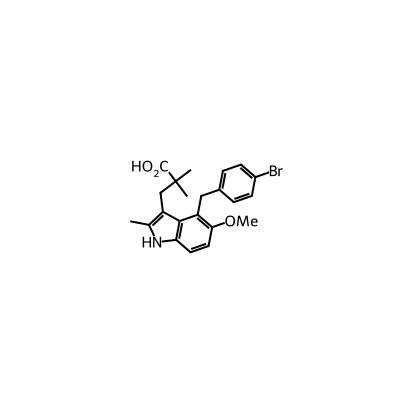 COc1ccc2[nH]c(C)c(CC(C)(C)C(=O)O)c2c1Cc1ccc(Br)cc1